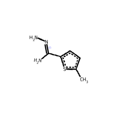 Cc1ccc(/C(N)=N/N)s1